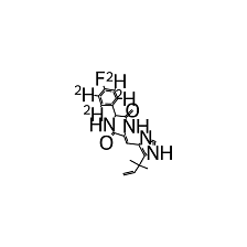 [2H]c1c([2H])c(C2NC(=O)/C(=C/c3nc[nH]c3C(C)(C)C=C)NC2=O)c([2H])c([2H])c1F